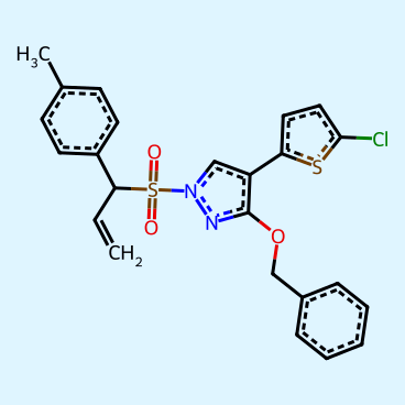 C=CC(c1ccc(C)cc1)S(=O)(=O)n1cc(-c2ccc(Cl)s2)c(OCc2ccccc2)n1